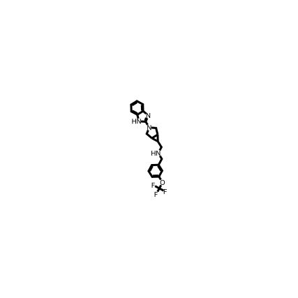 FC(F)(F)Oc1cccc(CNCC2C3CN(c4nc5ccccc5[nH]4)CC23)c1